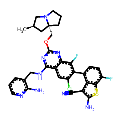 C[C@H]1CN2CCC[C@@]2(COc2nc(NCc3cccnc3N)c3cc(Cl)c(-c4ccc(F)c5sc(N)c(C#N)c45)c(F)c3n2)C1